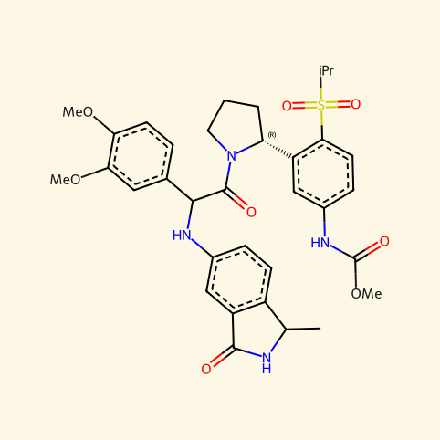 COC(=O)Nc1ccc(S(=O)(=O)C(C)C)c([C@H]2CCCN2C(=O)C(Nc2ccc3c(c2)C(=O)NC3C)c2ccc(OC)c(OC)c2)c1